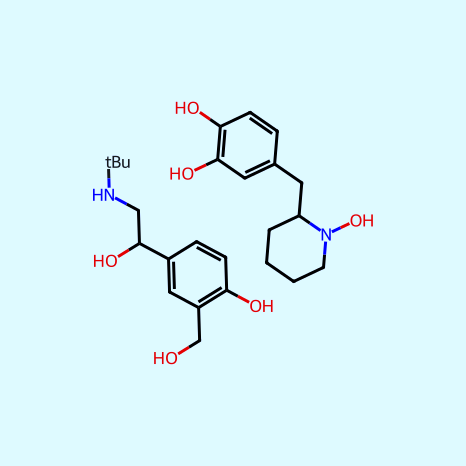 CC(C)(C)NCC(O)c1ccc(O)c(CO)c1.Oc1ccc(CC2CCCCN2O)cc1O